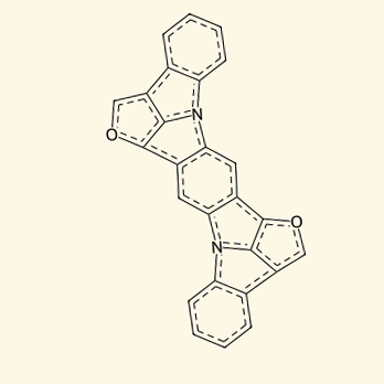 c1ccc2c(c1)c1coc3c4cc5c(cc4n2c13)c1occ2c3ccccc3n5c21